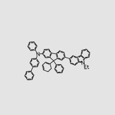 CCn1c2ccccc2c2cc(-c3ccc4c(c3)C(C3=CC=CCC3)(c3ccccc3)c3cc(N(c5ccccc5)c5ccc(-c6ccccc6)cc5)ccc3-4)ccc21